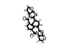 O=c1c2ccc3c(=O)n4c5ccoc5nc4c4ccc(c2c34)c2nc3occc3n12